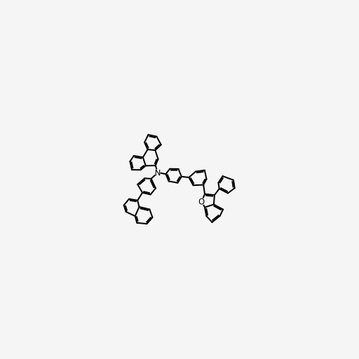 c1ccc(-c2c(-c3cccc(-c4ccc(N(c5ccc(-c6cccc7ccccc67)cc5)c5cc6ccccc6c6ccccc56)cc4)c3)oc3ccccc23)cc1